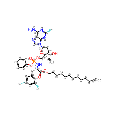 C#C[C@]1(COP(=O)(N[C@@H](Cc2cc(F)cc(F)c2)C(=O)OCCCCCCCCCCCCCCCCCCCCC)Oc2ccccc2)O[C@@H](n2cnc3c(N)nc(F)nc32)C[C@@H]1O